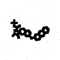 COC(=O)C1(NC(=O)OC(C)(C)C)CCc2ccc(Oc3ccc4cc5ccccc5cc4c3)cc2C1